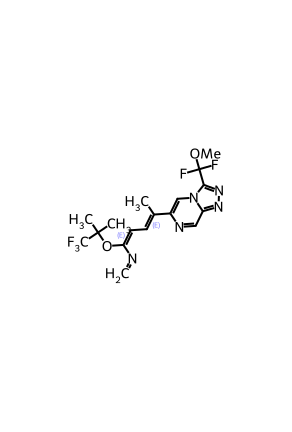 C=N/C(=C\C=C(/C)c1cn2c(C(F)(F)OC)nnc2cn1)OC(C)(C)C(F)(F)F